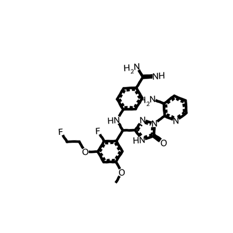 COc1cc(OCCF)c(F)c(C(Nc2ccc(C(=N)N)cc2)c2nn(-c3ncccc3N)c(=O)[nH]2)c1